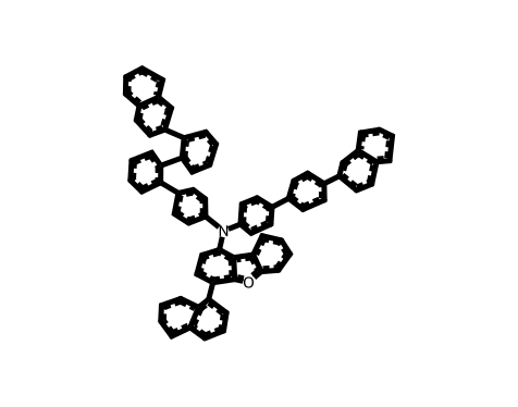 c1ccc(-c2ccccc2-c2ccc3ccccc3c2)c(-c2ccc(N(c3ccc(-c4ccc(-c5ccc6ccccc6c5)cc4)cc3)c3ccc(-c4cccc5ccccc45)c4oc5ccccc5c34)cc2)c1